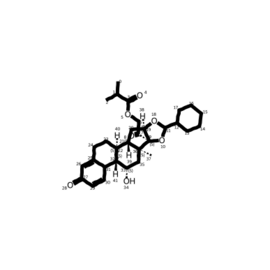 CC(C)C(=O)OCC(=O)[C@@]12OC(C3CCCCC3)O[C@@H]1C[C@H]1[C@@H]3CCC4=CC(=O)C=CC4[C@H]3[C@@H](O)C[C@@]12C